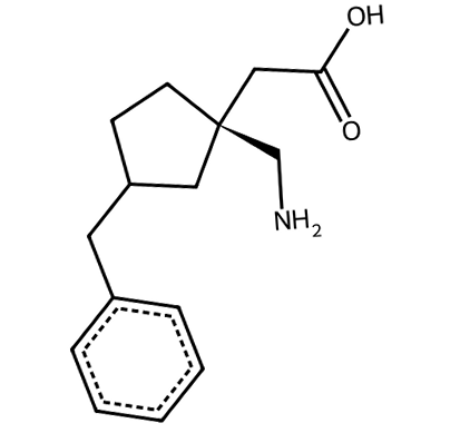 NC[C@]1(CC(=O)O)CCC(Cc2ccccc2)C1